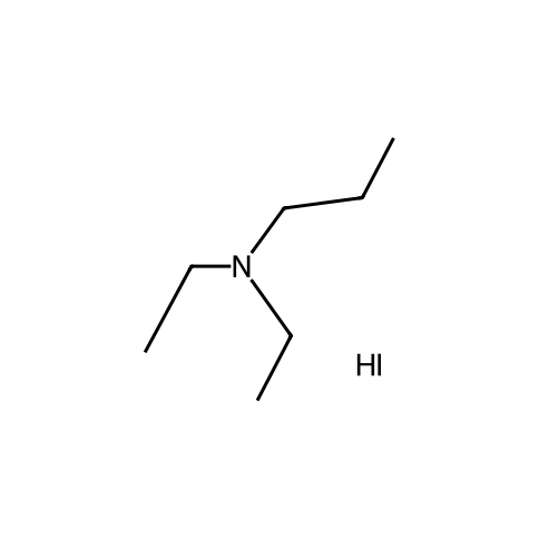 CCCN(CC)CC.I